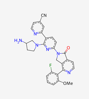 COc1cccc(F)c1-c1nccc2c1CN(c1ccc(-c3cc(C#N)ccn3)c(N3CCC(N)C3)n1)C2=O